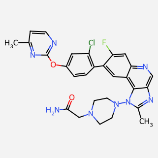 Cc1ccnc(Oc2ccc(-c3cc4c(cc3F)ncc3nc(C)n(N5CCN(CC(N)=O)CC5)c34)c(Cl)c2)n1